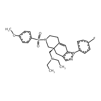 CCN(CC)C[C@]12Cc3cnn(-c4ccc(F)cc4)c3C=C1CCN(S(=O)(=O)c1ccc(OC)cc1)C2